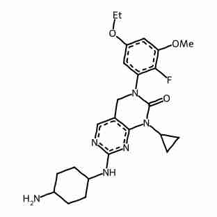 CCOc1cc(OC)c(F)c(N2Cc3cnc(NC4CCC(N)CC4)nc3N(C3CC3)C2=O)c1